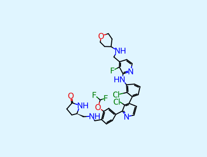 O=C1CC[C@H](CNCc2ccc(-c3nccc(-c4cccc(Nc5nccc(CNC6CCOCC6)c5F)c4Cl)c3Cl)cc2OC(F)F)N1